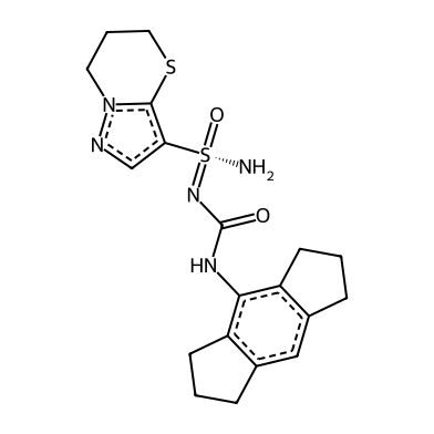 N[S@](=O)(=NC(=O)Nc1c2c(cc3c1CCC3)CCC2)c1cnn2c1SCCC2